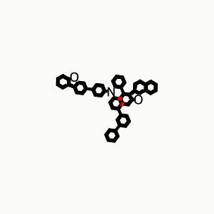 c1ccc(-c2cccc(-c3ccc(N(c4ccc(-c5ccc6c(c5)oc5ccccc56)cc4)c4ccccc4-c4cccc5oc6c7ccccc7ccc6c45)cc3)c2)cc1